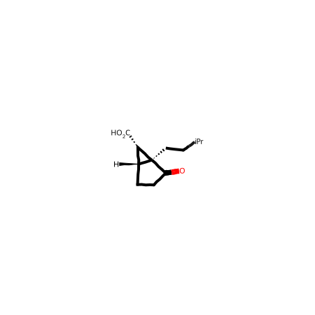 CC(C)CC[C@]12C(=O)CC[C@@H]1[C@@H]2C(=O)O